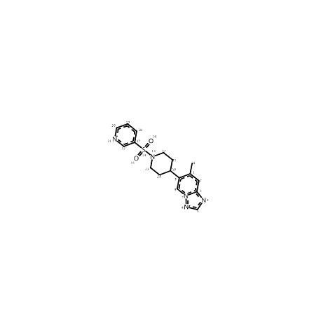 Cc1cc2ncnn2cc1C1CCN(S(=O)(=O)c2cccnc2)CC1